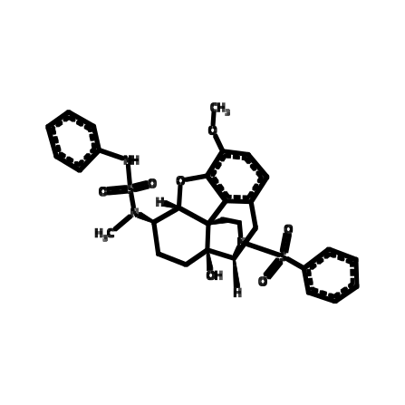 COc1ccc2c3c1O[C@H]1[C@H](N(C)S(=O)(=O)Nc4ccccc4)CC[C@@]4(O)[C@@H](C2)N(S(=O)(=O)c2ccccc2)CC[C@]314